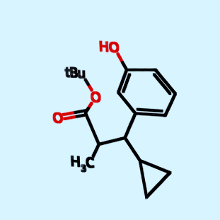 CC(C(=O)OC(C)(C)C)C(c1cccc(O)c1)C1CC1